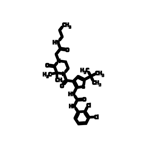 CCCNC(=O)CN1CCN(C(=O)c2cc(C(C)(C)C)sc2NC(=O)Nc2cccc(Cl)c2Cl)C(C)(C)C1=O